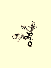 Cc1c(/C(C#N)=N/OC(=O)C(F)(F)F)ccc2c1c1cc([N+](=O)[O-])ccc1n2CCOC1CCCCC1